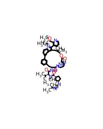 CCn1c(-c2cccnc2[C@H](C)OC)c2c3cc(ccc31)-c1cccc(c1)C[C@H](NC(=O)[C@H](C(C)C)N(C)C(=O)[C@H]1CC[C@H](N=C=NC(C)C)C1)C(=O)N1CCC[C@H](N1)C(=O)OCC(C)(C)C2